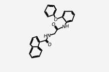 O=C(CNC(=O)c1cccc2ccccc12)Nc1ccccc1Oc1ccccc1